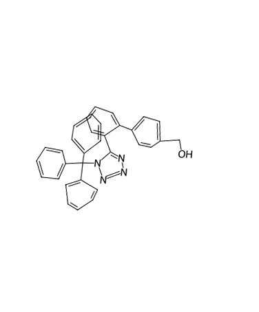 OCc1ccc(-c2ccccc2-c2nnnn2C(c2ccccc2)(c2ccccc2)c2ccccc2)cc1